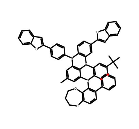 Cc1cc2c3c(c1)N(c1c(-c4ccccc4)ccc4c1OCCCO4)c1ccc(C(C)(C)C)cc1B3c1cc(-c3cc4ccccc4o3)ccc1N2c1ccc(-c2cc3ccccc3o2)cc1